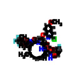 COc1ccc2c(O[C@@H]3C[C@H]4C(=O)N[C@]5(C(=O)NS(=O)(=O)C6(CF)CC6)C[C@H]5C=CCC[C@@H](C)C[C@@H](C)[C@H](NC(=O)OC(C)(C)C(F)(F)F)C(=O)N4C3)nc(Cl)cc2c1